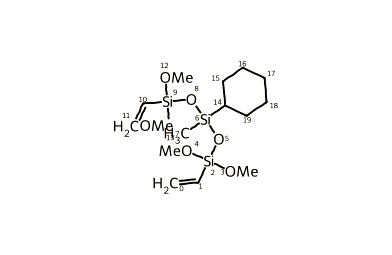 C=C[Si](OC)(OC)O[Si](C)(O[Si](C=C)(OC)OC)C1CCCCC1